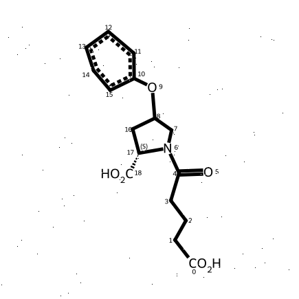 O=C(O)CCCC(=O)N1CC(Oc2ccccc2)C[C@H]1C(=O)O